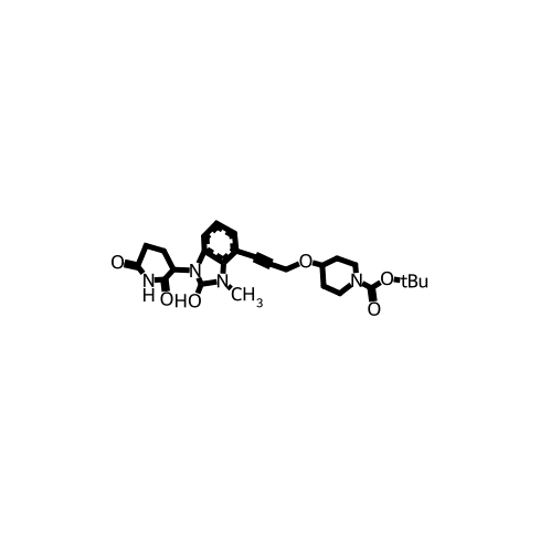 CN1c2c(C#CCOC3CCN(C(=O)OC(C)(C)C)CC3)cccc2N(C2CCC(=O)NC2=O)C1O